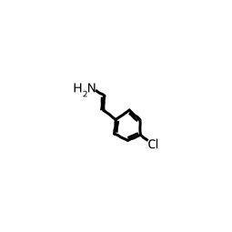 NC=Cc1ccc(Cl)cc1